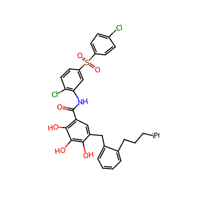 CC(C)CCCc1ccccc1Cc1cc(C(=O)Nc2cc(S(=O)(=O)c3ccc(Cl)cc3)ccc2Cl)c(O)c(O)c1O